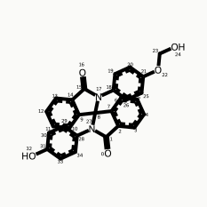 O=C1c2ccccc2C2(c3ccccc3C(=O)N2c2ccc(OCO)cc2)N1c1ccc(O)cc1